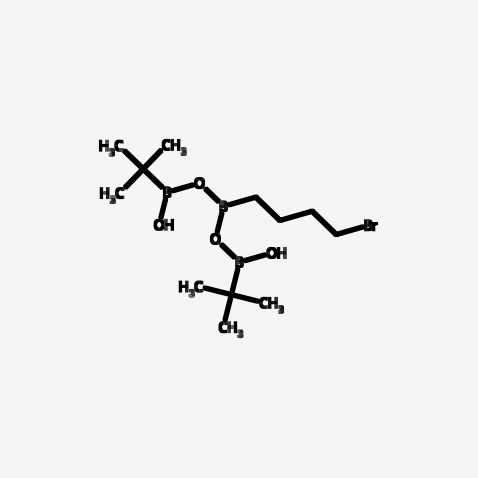 CC(C)(C)B(O)OB(CCCCBr)OB(O)C(C)(C)C